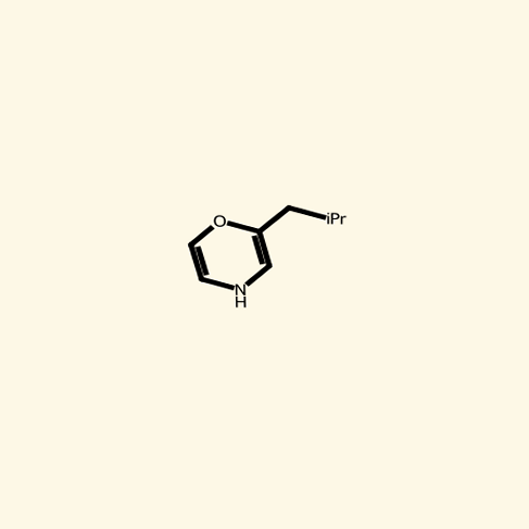 CC(C)CC1=CNC=CO1